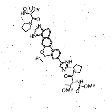 COC(=O)N[C@H](C(=O)N1C[C@@H](C)C[C@H]1c1ncc(-c2ccc3c(c2)COc2cc4c(ccc5nc([C@@H]6CC[C@H](C)N6C(=O)[C@@H](NC(=O)O)C(C)C)[nH]c54)cc2-3)[nH]1)[C@H](C)OC.C[C](C)C